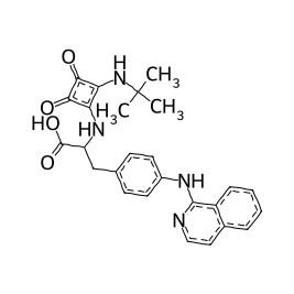 CC(C)(C)Nc1c(NC(Cc2ccc(Nc3nccc4ccccc34)cc2)C(=O)O)c(=O)c1=O